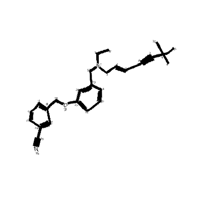 CCN(CC=CC#CC(C)(C)C)Cc1cccc(OCc2cccc(C#N)c2)c1